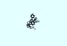 Cc1noc(C)c1-c1ccc2[nH]c(=O)n3c2c1OC[C@@H]3c1ccccc1